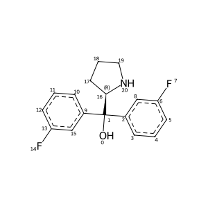 OC(c1cccc(F)c1)(c1cccc(F)c1)[C@H]1CCCN1